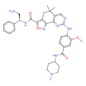 COc1cc(C(=O)NC2CCN(C)CC2)ccc1Nc1ncc2c(n1)-c1noc(C(=O)N[C@H](CN)c3ccccc3)c1CC2(C)C